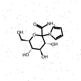 NC(=O)C1(n2cccc2)O[C@H](CO)[C@@H](O)[C@H](O)[C@H]1O